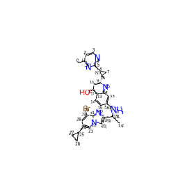 Cc1ccnc([C@H]2C[C@@H]2c2cc(O)c3ccc(NC(C)c4cn5cc(C6CC6)cc(Br)c5n4)cc3n2)n1